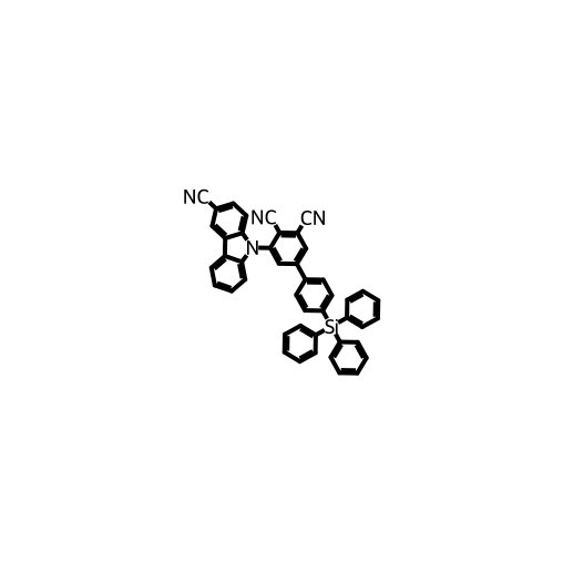 N#Cc1ccc2c(c1)c1ccccc1n2-c1cc(-c2ccc([Si](c3ccccc3)(c3ccccc3)c3ccccc3)cc2)cc(C#N)c1C#N